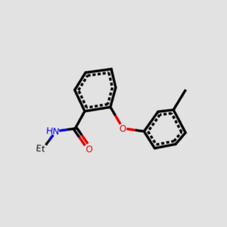 CCNC(=O)c1ccccc1Oc1cccc(C)c1